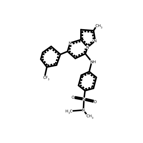 Cc1cc2nc(-c3cccc(C(F)(F)F)c3)cc(Nc3ccc(S(=O)(=O)N(C)C)cc3)n2n1